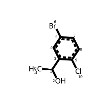 C[C@H](O)c1cc(Br)ccc1Cl